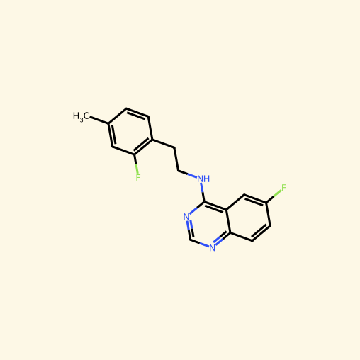 Cc1ccc(CCNc2ncnc3ccc(F)cc23)c(F)c1